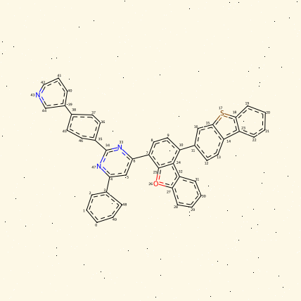 c1ccc(-c2cc(-c3ccc(-c4ccc5c(c4)sc4ccccc45)c4c3oc3ccccc34)nc(-c3ccc(-c4cccnc4)cc3)n2)cc1